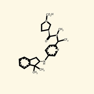 CN(C(=O)[C@H]1CCN(C(=O)O)C1)C(c1ccc(N[C@H]2Cc3ccccc3C2(C)C)cn1)C(F)(F)F